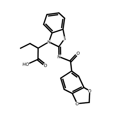 CCC(C(=O)O)n1c(=NC(=O)c2ccc3c(c2)OCO3)sc2ccccc21